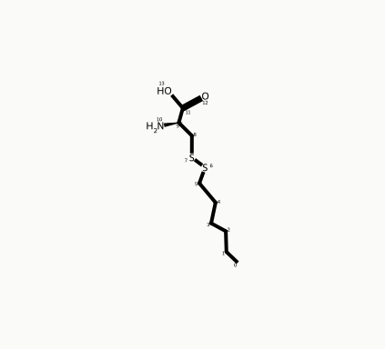 CCCCCCSSC[C@@H](N)C(=O)O